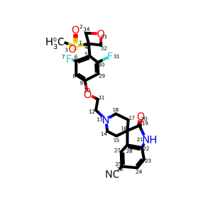 CS(=O)(=O)C1(c2c(F)cc(OCCN3CCC4(CC3)C(=O)Nc3ccc(C#N)cc34)cc2F)COC1